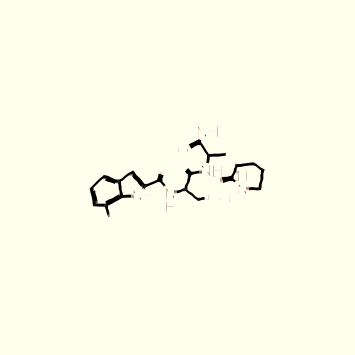 CC(C)(C)CC(NC(=O)c1cc2cccc(F)c2[nH]1)C(=O)NC(C[C@@H]1CCCNC1=O)C(N)=O